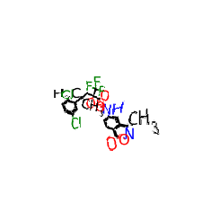 Cc1noc(=O)c2ccc(NOC(=O)C(O)(CC(C)(C)c3cc(Cl)ccc3Cl)C(F)(F)F)cc12